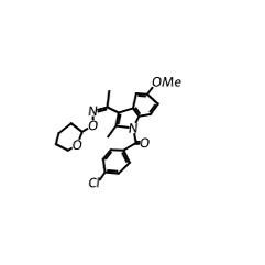 COc1ccc2c(c1)c(/C(C)=N\OC1CCCCO1)c(C)n2C(=O)c1ccc(Cl)cc1